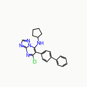 Clc1nc2ncnn2c(NC2CCCC2)c1-c1ccc(-c2ccccc2)cc1